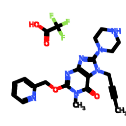 CC#CCn1c(N2CCNCC2)nc2nc(OCc3ccccn3)n(C)c(=O)c21.O=C(O)C(F)(F)F